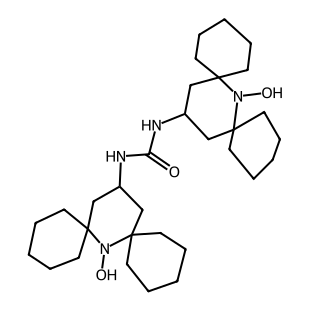 O=C(NC1CC2(CCCCC2)N(O)C2(CCCCC2)C1)NC1CC2(CCCCC2)N(O)C2(CCCCC2)C1